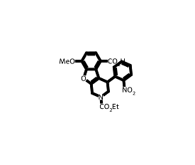 CCOC(=O)N1Cc2oc3c(OC)ccc(C(=O)O)c3c2C(c2ccccc2[N+](=O)[O-])C1